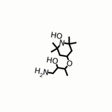 CC(OC1CC(C)(C)N(O)C(C)(C)C1)C(O)CN